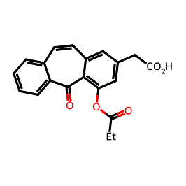 CCC(=O)Oc1cc(CC(=O)O)cc2ccc3ccccc3c(=O)c12